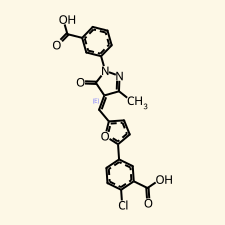 CC1=NN(c2cccc(C(=O)O)c2)C(=O)/C1=C/c1ccc(-c2ccc(Cl)c(C(=O)O)c2)o1